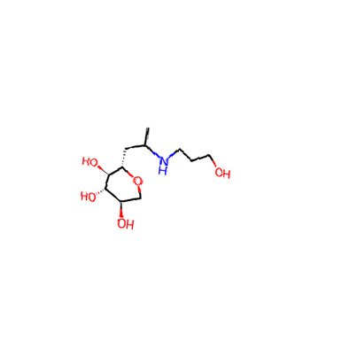 CC(C[C@@H]1OC[C@@H](O)[C@H](O)[C@H]1O)NCCCO